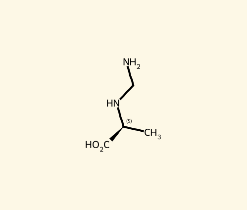 C[C@H](NCN)C(=O)O